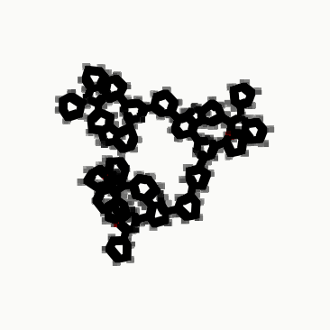 c1ccc(-c2cccc(-c3cc(-c4ccccc4)nc(-c4ccc(-c5cccc(-c6ccc(-c7cc(-c8ccccc8)nc(-c8ccc(-c9cccc(-c%10cc(-c%11ccccc%11)nc(-c%11cccc%12sc%13ccc(-c%14nc%15ccccc%15n%14-c%14ccccc%14)cc%13c%11%12)n%10)c9)c9sc%10ccc(-c%11nc%12ccccc%12n%11-c%11ccccc%11)cc%10c89)n7)cc6)c5)c5sc6ccc(-c7nc8ccccc8n7-c7ccccc7)cc6c45)n3)c2)cc1